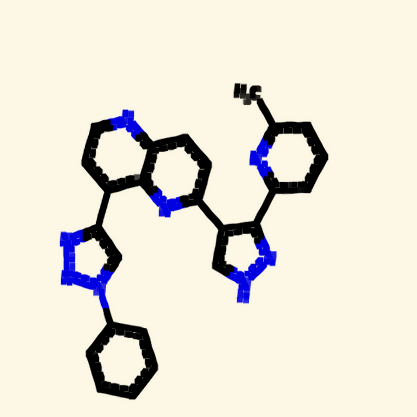 Cc1cccc(-c2n[nH]cc2-c2ccc3nccc(-c4cn(-c5ccccc5)nn4)c3n2)n1